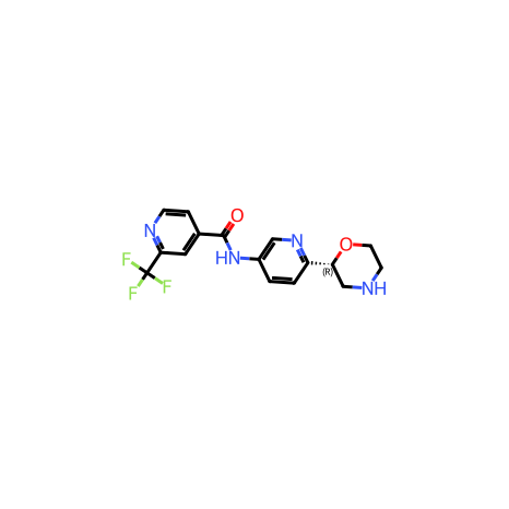 O=C(Nc1ccc([C@H]2CNCCO2)nc1)c1ccnc(C(F)(F)F)c1